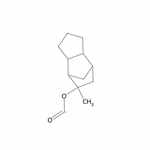 CC1(O[C]=O)CC2CC1C1CCCC21